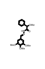 COc1cc(/C=N/NC(=O)C(OC)c2ccccc2)cc(OC)c1OC